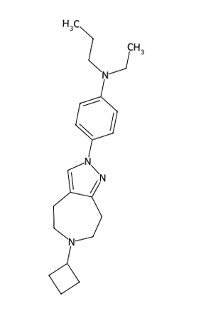 CCCN(CC)c1ccc(-n2cc3c(n2)CCN(C2CCC2)CC3)cc1